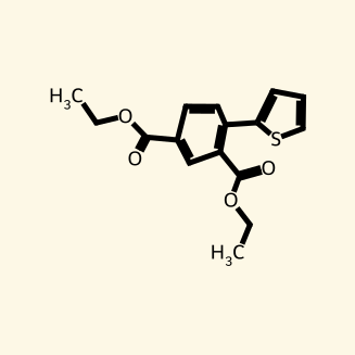 CCOC(=O)c1ccc(-c2cccs2)c(C(=O)OCC)c1